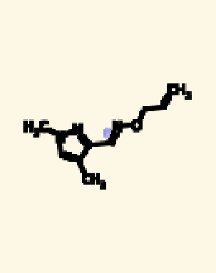 C=CCO/N=C/c1nn(C)cc1C